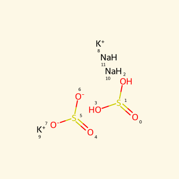 O=S(O)O.O=S([O-])[O-].[K+].[K+].[NaH].[NaH]